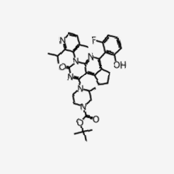 Cc1ccnc(C(C)C)c1-n1c(=O)nc(N2CCN(C(=O)OC(C)(C)C)CC2C)c2c3c(c(-c4c(O)cccc4F)nc21)CCC3